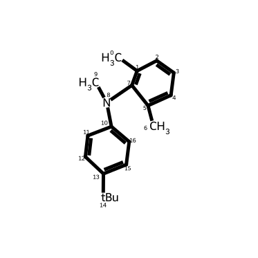 Cc1cccc(C)c1N(C)c1ccc(C(C)(C)C)cc1